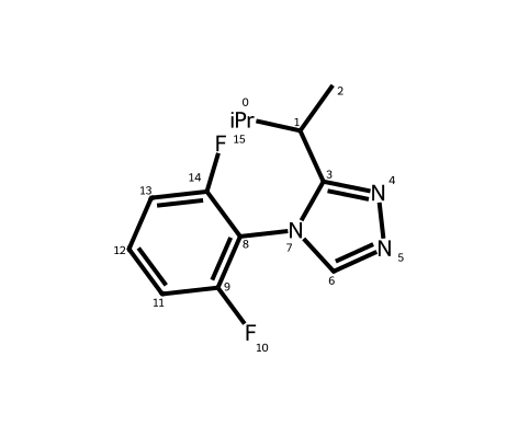 CC(C)C(C)c1nncn1-c1c(F)cccc1F